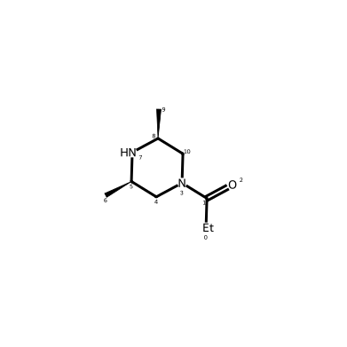 CCC(=O)N1C[C@@H](C)N[C@@H](C)C1